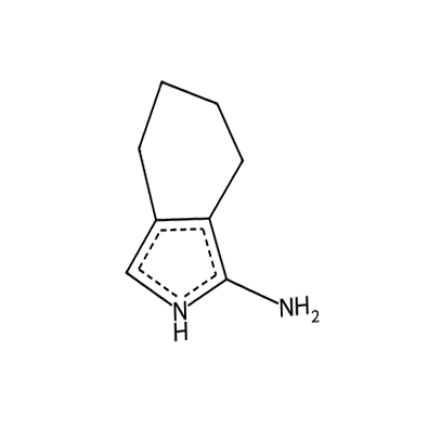 Nc1[nH]cc2c1CCCC2